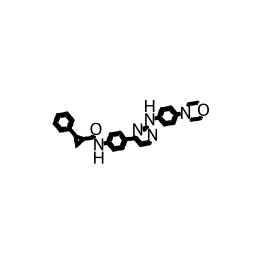 O=C(Nc1ccc(-c2ccnc(Nc3ccc(N4CCOCC4)cc3)n2)cc1)C1CC1c1ccccc1